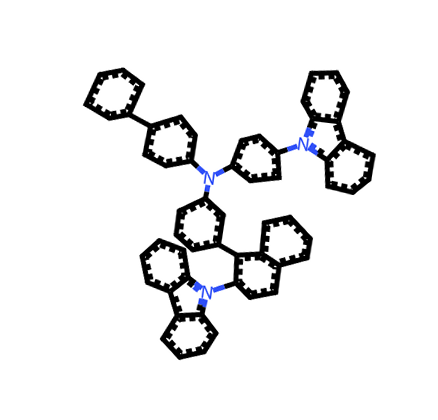 c1ccc(-c2ccc(N(c3ccc(-n4c5ccccc5c5ccccc54)cc3)c3cccc(-c4c(-n5c6ccccc6c6ccccc65)ccc5ccccc45)c3)cc2)cc1